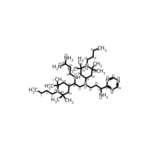 CCCCN1C(C)(C)CC(C(CN(CCC(N)c2ncncn2)C2CC(C)(C)N(CCCC)C(C)(C)C2)NCCC(N)N)CC1(C)C